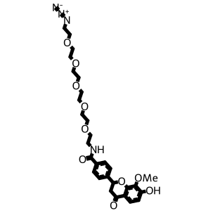 COc1c(O)ccc2c1OC(c1ccc(C(=O)NCCOCCOCCOCCOCCOCCN=[N+]=[N-])cc1)CC2=O